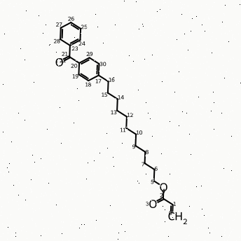 C=CC(=O)OCCCCCCCCCCCCc1ccc(C(=O)c2ccccc2)cc1